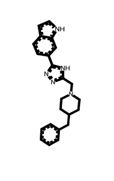 c1ccc(CC2CCN(Cc3nnc(-c4ccc5cc[nH]c5c4)[nH]3)CC2)cc1